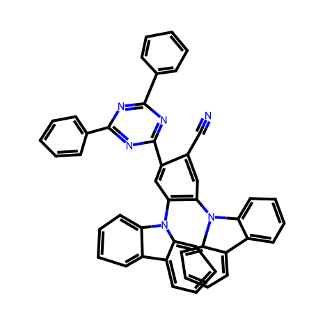 N#Cc1cc(-n2c3ccccc3c3ccccc32)c(-n2c3ccccc3c3ccccc32)cc1-c1nc(-c2ccccc2)nc(-c2ccccc2)n1